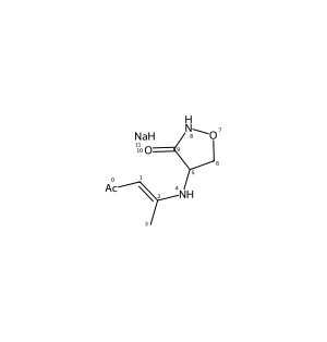 CC(=O)C=C(C)NC1CONC1=O.[NaH]